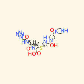 C[C@@H](NC(=O)Cn1cnnn1)[C@H]1C(=O)N2C(C(=O)O)=C(S[C@@H]3CNC(C(O)N4CCC(C(=O)N5CCNCC5)CC4)C3)[C@H](C)[C@H]12